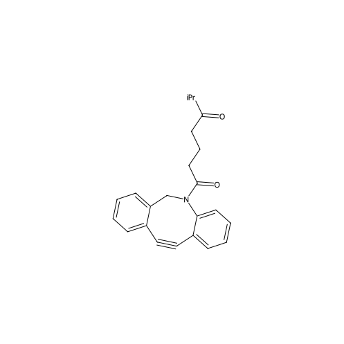 CC(C)C(=O)CCCC(=O)N1Cc2ccccc2C#Cc2ccccc21